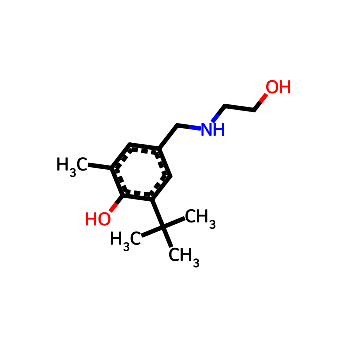 Cc1cc(CNCCO)cc(C(C)(C)C)c1O